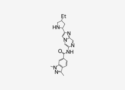 CCC1CNC(c2cn3cc(NC(=O)c4ccc5c(C)nn(C)c5c4)ncc3n2)C1